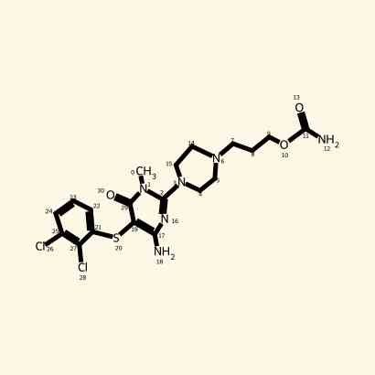 Cn1c(N2CCN(CCCOC(N)=O)CC2)nc(N)c(Sc2cccc(Cl)c2Cl)c1=O